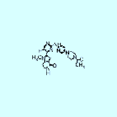 CC(=O)N1CCN(c2ccc(Nc3ncc(F)c(-c4cc5c(n4C)CCNC5=O)n3)nc2)CC1